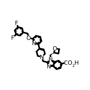 O=C(O)c1ccc2nc(CN3CC=C(c4cccc(OCc5cc(F)cc(F)c5)n4)CC3)n(C[C@@H]3CCO3)c2c1